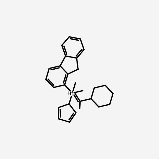 C[C](C1CCCCC1)=[Hf]([CH3])([CH3])([c]1cccc2c1Cc1ccccc1-2)[CH]1C=CC=C1